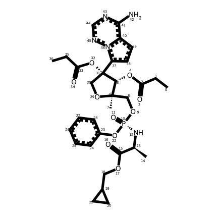 CCC(=O)O[C@@H]1[C@@](C)(CO[P@@](=O)(N[C@@H](C)C(=O)OCC2CC2)Oc2ccccc2)OC[C@@]1(OC(=O)CC)c1ccc2c(N)ncnn12